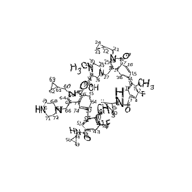 Cc1c(F)cc(C(=O)NC2CC2)cc1-c1ccc2c(=O)n(CC3CC3)cc(CN3CCN(C)C(CO)C3)c2c1.Cc1c(F)cc(C(=O)NC2CC2)cc1-c1ccc2c(=O)n(CC3CC3)cc(CN3CCNCC3)c2c1